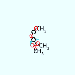 CCOC(=O)C(OCC)c1c(F)cc(Oc2ccc(OC)cc2)cc1F